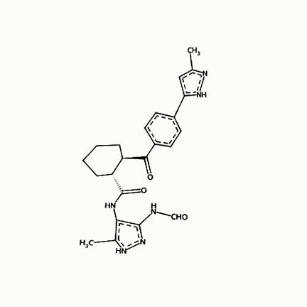 Cc1cc(-c2ccc(C(=O)[C@@H]3CCCC[C@H]3C(=O)Nc3c(NC=O)n[nH]c3C)cc2)[nH]n1